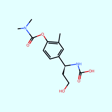 Cc1cc([C@H](CCO)NC(=O)O)ccc1OC(=O)N(C)C